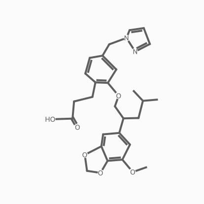 COc1cc(C(COc2cc(Cn3cccn3)ccc2CCC(=O)O)CC(C)C)cc2c1OCO2